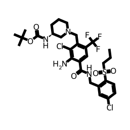 CCCS(=O)(=O)c1ccc(Cl)cc1CNC(=O)c1cc(C(F)(F)F)c(CN2CCC[C@@H](NC(=O)OC(C)(C)C)C2)c(Cl)c1N